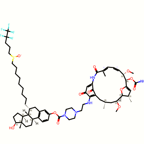 CO[C@H]1/C=C\C=C(/C)C(=O)NC2=CC(=O)C(NCCN3CCN(C(=O)Oc4ccc5c(c4)C[C@@H](CCCCCCCCC[S+]([O-])CCCC(F)(F)C(F)(F)F)[C@@H]4[C@@H]5CC[C@]5(C)[C@@H](O)CC[C@@H]45)CC3)=C(C[C@@H](C)C[C@H](OC)[C@H]3OC(=C[C@@H]3C)[C@@H]1OC(N)=O)C2=O